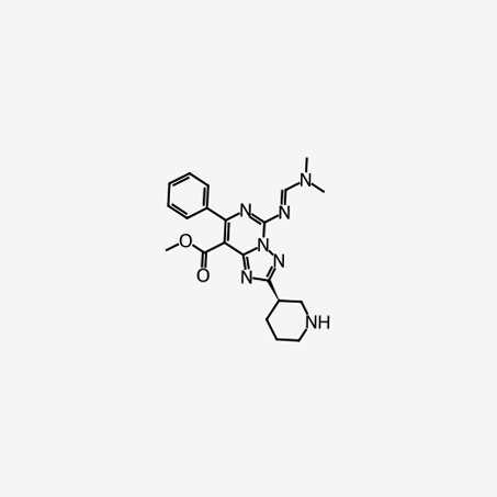 COC(=O)c1c(-c2ccccc2)nc(/N=C/N(C)C)n2nc([C@@H]3CCCNC3)nc12